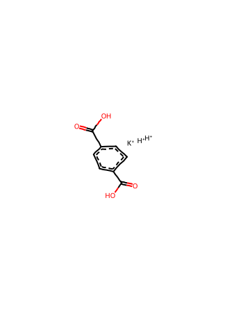 O=C(O)c1ccc(C(=O)O)cc1.[H+].[H+].[K+]